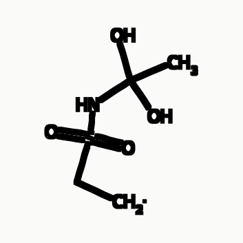 [CH2]CS(=O)(=O)NC(C)(O)O